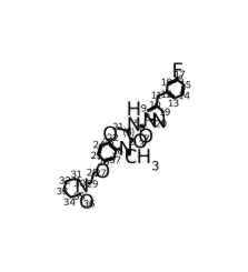 CN1C(=O)[C@@H](NC(=O)n2cc(Cc3cccc(F)c3)cn2)COc2ccc(OCCN3CCCCC3=O)cc21